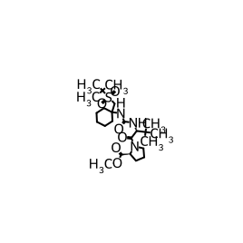 COC(=O)[C@@H]1CCCN1C(=O)[C@@H](NC(=O)NC1(CS(=O)(=O)C(C)(C)C)CCCCC1)C(C)(C)C